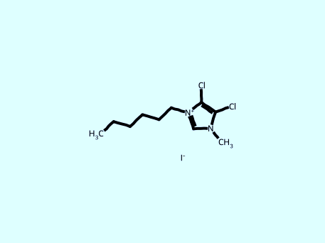 CCCCCC[n+]1cn(C)c(Cl)c1Cl.[I-]